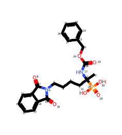 CC(CCCCN1C(=O)c2ccccc2C1=O)(NC(=O)OCc1ccccc1)P(=O)(O)O